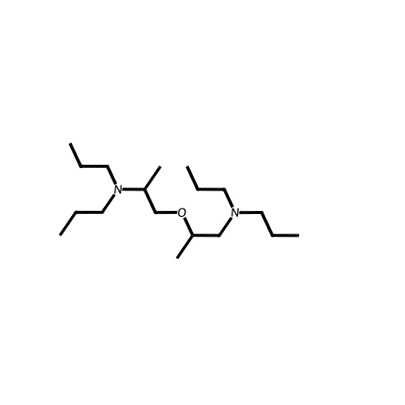 CCCN(CCC)CC(C)OCC(C)N(CCC)CCC